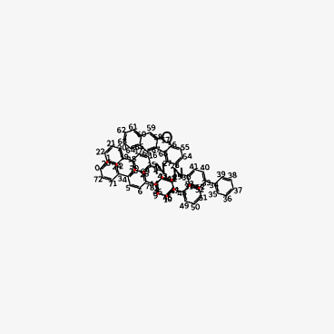 c1ccc(-c2ccc(-c3ccccc3N(c3ccc(-c4ccccc4)cc3)c3c(N(c4ccc(-c5ccccc5)cc4)c4ccccc4-c4ccccc4)ccc4oc5cc6ccccc6cc5c34)cc2)cc1